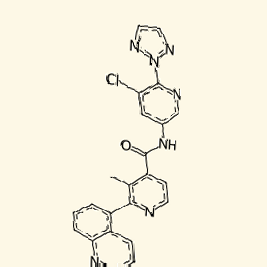 Cc1c(C(=O)Nc2cnc(-n3nccn3)c(Cl)c2)ccnc1-c1cccc2ncccc12